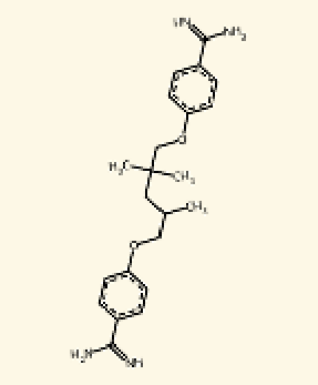 CC(COc1ccc(C(=N)N)cc1)CC(C)(C)COc1ccc(C(=N)N)cc1